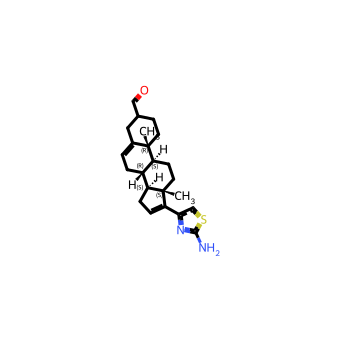 C[C@]12CCC(C=O)CC1=CC[C@@H]1[C@@H]2CC[C@]2(C)C(c3csc(N)n3)=CC[C@@H]12